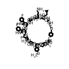 COc1ccc(C[C@@H]2NC(=O)[C@H]([C@@H](C)O)NC(=O)[C@@H]3C[C@H](F)CN3C(=O)[C@H](Cc3c[nH]c4ccc(F)cc34)NC(=O)[C@H](Cc3c[nH]c4ccc(F)cc34)NC(=O)[C@@H](C)NC(=O)[C@H](CCCCN)NC(=O)[C@@H](NC(=O)CC3CC3)CC(=O)NCCOc3ccc(cc3)C[C@@H](C(N)=O)NC(=O)[C@]3(C)CCCN3C2=O)cc1